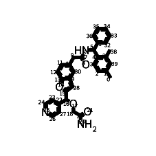 Cc1ccc(C(NC(=O)Cc2ccc3oc(C(OCC(N)=O)c4ccncc4)cc3c2)c2ccccc2)c(C)c1